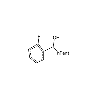 CCCCCC(O)c1ccccc1F